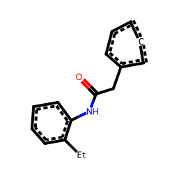 CCc1ccccc1NC(=O)Cc1ccccc1